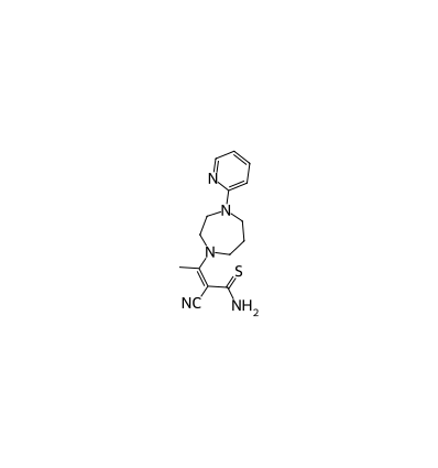 CC(=C(C#N)C(N)=S)N1CCCN(c2ccccn2)CC1